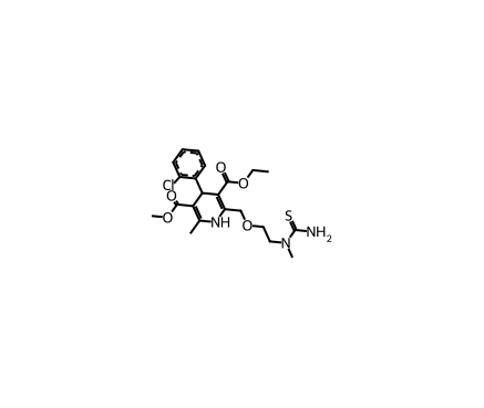 CCOC(=O)C1=C(COCCN(C)C(N)=S)NC(C)=C(C(=O)OC)C1c1ccccc1Cl